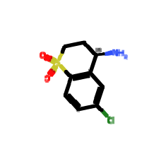 N[C@@H]1CCS(=O)(=O)c2ccc(Cl)cc21